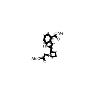 COC(=O)CN1CCCC1c1cc2c(C(=O)OC)cccc2[nH]1